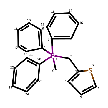 CP(Cc1cccs1)(c1ccccc1)(c1ccccc1)c1ccccc1